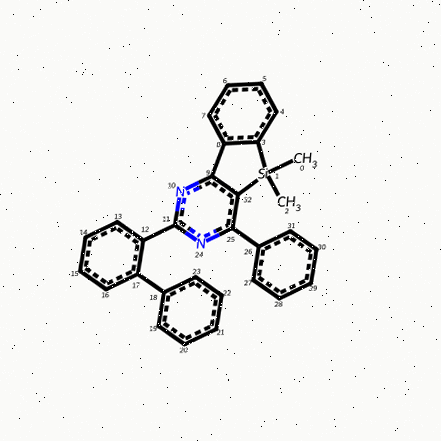 C[Si]1(C)c2ccccc2-c2nc(-c3ccccc3-c3ccccc3)nc(-c3ccccc3)c21